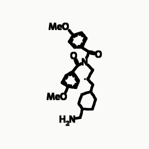 COc1ccc(C(=O)N(C[CH]CC2CCC(CN)CC2)C(=O)c2ccc(OC)cc2)cc1